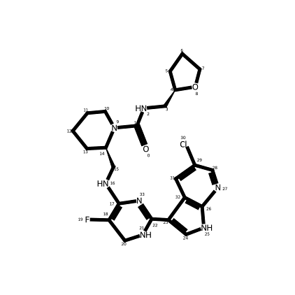 O=C(NC[C@H]1CCCO1)N1CCCC[C@@H]1CNC1=C(F)CNC(c2c[nH]c3ncc(Cl)cc23)=N1